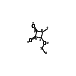 CCOC1C(=O)C(=O)C1C